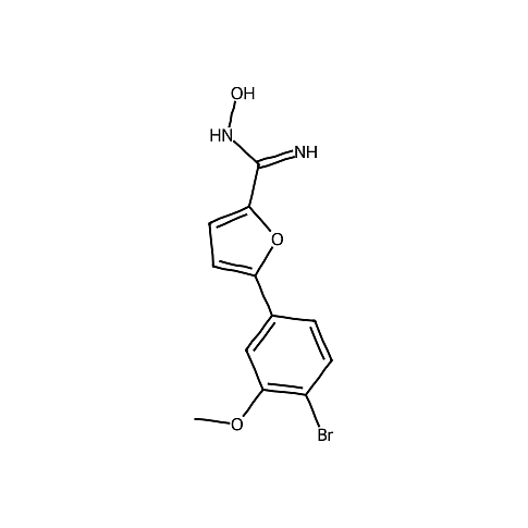 COc1cc(-c2ccc(C(=N)NO)o2)ccc1Br